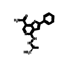 C[C@@H](NNc1ncc(C(N)=O)c2sc(-c3ccccc3)cc12)C(=O)O